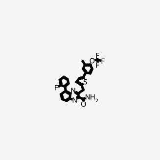 Cc1cc(-c2ccc(Cc3nc4c(-c5ccccc5F)cccc4nc3C(N)=O)s2)ccc1OC(F)(F)F